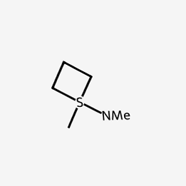 CNS1(C)CCC1